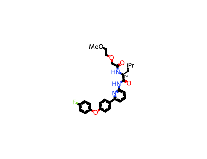 COCCOCC(=O)N[C@@H](CC(C)C)C(=O)Nc1cccc(-c2ccc(Oc3ccc(F)cc3)cc2)n1